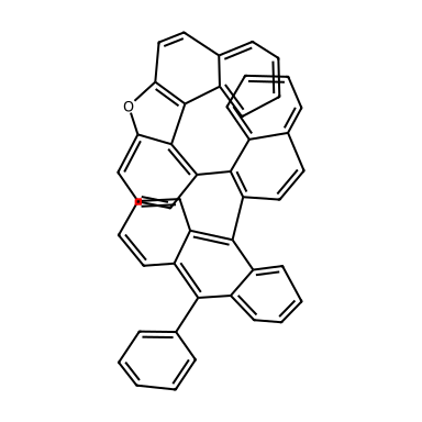 c1ccc(-c2c3ccccc3c(-c3ccc4ccccc4c3-c3cccc4oc5ccc6ccccc6c5c34)c3ccccc23)cc1